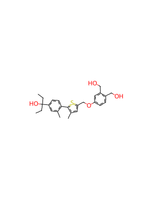 CCC(O)(CC)c1ccc(-c2sc(COc3ccc(CO)c(CO)c3)cc2C)c(C)c1